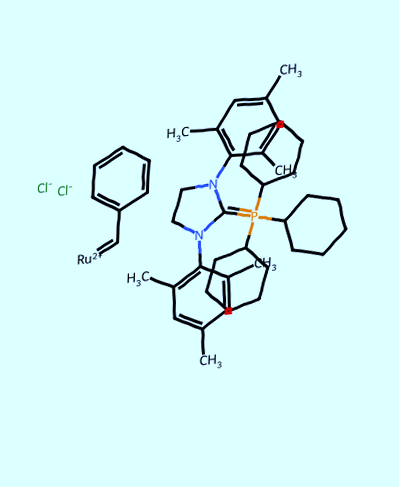 Cc1cc(C)c(N2CCN(c3c(C)cc(C)cc3C)C2=P(C2CCCCC2)(C2CCCCC2)C2CCCCC2)c(C)c1.[Cl-].[Cl-].[Ru+2]=[CH]c1ccccc1